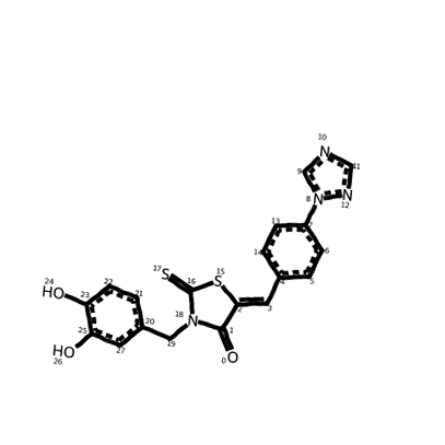 O=C1C(=Cc2ccc(-n3cncn3)cc2)SC(=S)N1Cc1ccc(O)c(O)c1